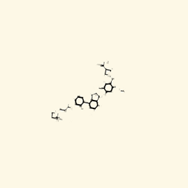 CCOc1cc(O[C@H]2CCc3c(-c4cccc(OCCCN5CCC5(C)C)c4C)cccc32)c(Cl)cc1CN1CC(C(=O)O)C1